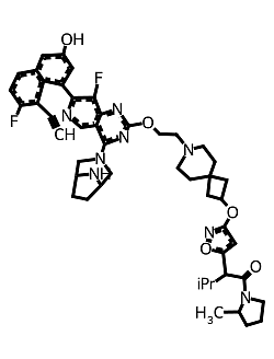 C#Cc1c(F)ccc2cc(O)cc(-c3ncc4c(N5CC6CCC(C5)N6)nc(OCCN5CCC6(CC5)CC(Oc5cc(C(C(=O)N7CCCC7C)C(C)C)on5)C6)nc4c3F)c12